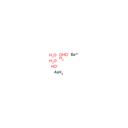 O.O.O.[AsH3].[Ba+2].[OH-].[OH-]